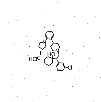 Cl.Cl.OC1(C(CN2CCC(c3ccccc3N3CCCC3)CC2)c2cccc(Cl)c2)CCCCC1